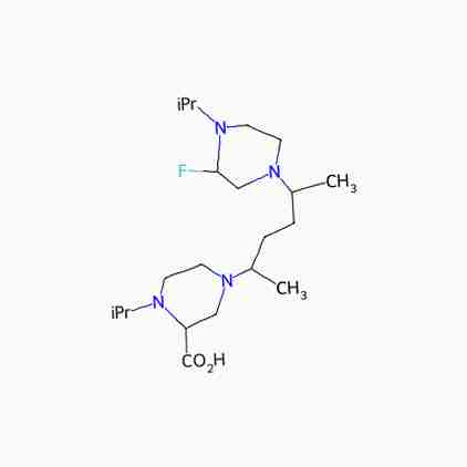 CC(CCC(C)N1CCN(C(C)C)C(C(=O)O)C1)N1CCN(C(C)C)C(F)C1